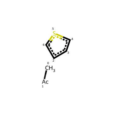 CC(C)=O.c1ccsc1